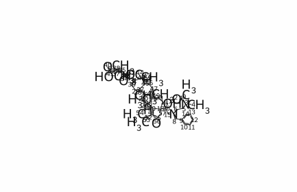 CC(=O)N(C)CCN(Cc1ccccc1)C[C@H](O)[C@@]12CC[C@]3(C)[C@H](CCC4[C@@]5(C)CC[C@H](OC(=O)CC(C)(C)C(=O)O)C(C)(C)[C@@H]5CC[C@]43C)C1=C(C(C)C)C(=O)C2